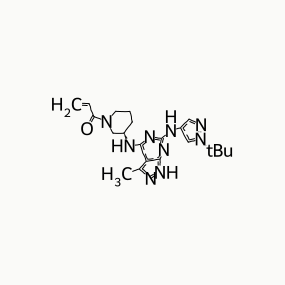 C=CC(=O)N1CCC[C@@H](Nc2nc(Nc3cnn(C(C)(C)C)c3)nc3[nH]nc(C)c23)C1